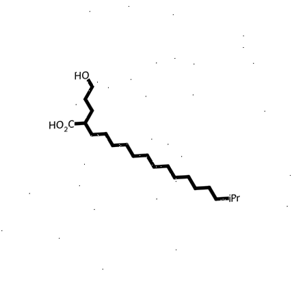 CC(C)CCCCCCCCCCCCCC(CCCO)C(=O)O